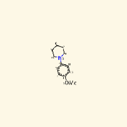 COc1[c]cc(N2CCCCC2)cc1